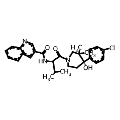 CC(C)[C@@H](NC(=O)c1cnc2ccccc2c1)C(=O)N1CC[C@](O)(c2ccc(Cl)cc2)C(C)(C)C1